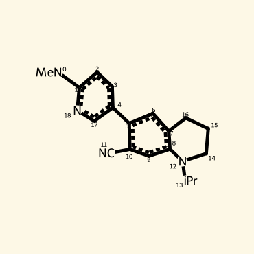 CNc1ccc(-c2cc3c(cc2C#N)N(C(C)C)CCC3)cn1